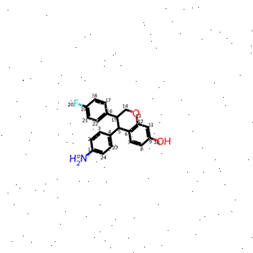 Nc1ccc(C2c3ccc(O)cc3OCC2c2ccc(F)cc2)cc1